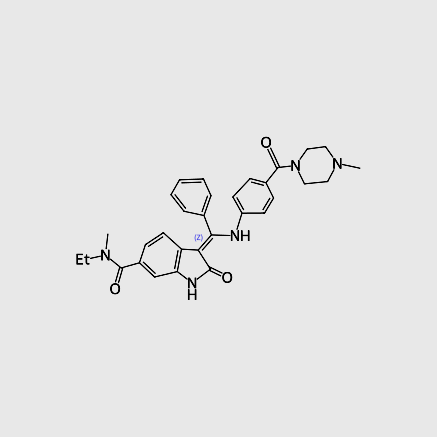 CCN(C)C(=O)c1ccc2c(c1)NC(=O)/C2=C(\Nc1ccc(C(=O)N2CCN(C)CC2)cc1)c1ccccc1